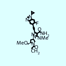 C=CC(=O)N1C[C@@H](n2nc(C#Cc3cc4ncn(C5CC5)c4cc3F)c(C(N)=O)c2NC)C[C@@H]1COC